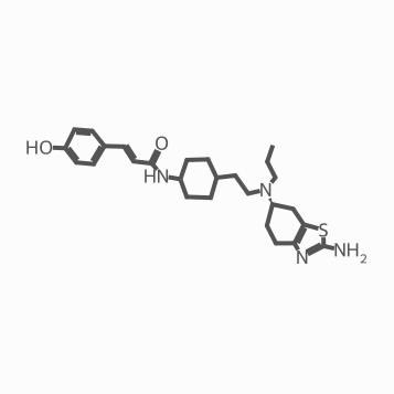 CCCN(CCC1CCC(NC(=O)/C=C/c2ccc(O)cc2)CC1)[C@H]1CCc2nc(N)sc2C1